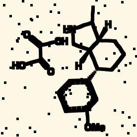 COc1cccc([C@H]2CCC[C@H]3C(C)NC[C@@H]23)c1.O=C(O)C(=O)O